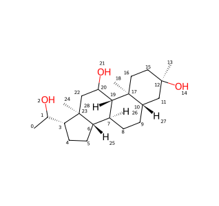 CC(O)[C@H]1CC[C@H]2[C@@H]3CC[C@H]4C[C@](C)(O)CC[C@]4(C)[C@H]3C(O)C[C@]12C